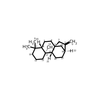 C=C1C[C@]23CC[C@H]4C(C)(C)CCC[C@]4(C)[C@H]2CC[C@H]1C3